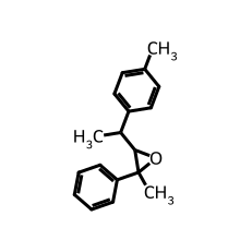 Cc1ccc(C(C)C2OC2(C)c2ccccc2)cc1